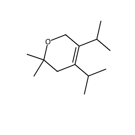 CC(C)C1=C(C(C)C)CC(C)(C)OC1